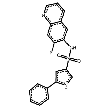 O=S(=O)(Nc1cc2cccnc2cc1F)c1c[nH]c(-c2ccccc2)c1